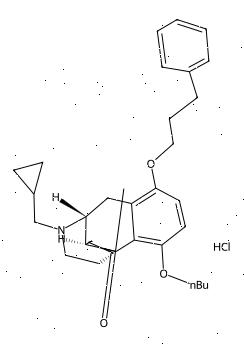 CCCCOc1ccc(OCCCc2ccccc2)c2c1[C@]13CCN(CC4CC4)[C@H](C2)[C@@H]1CCC(=O)C3.Cl